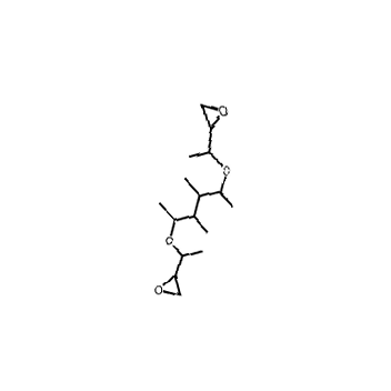 CC(OC(C)C(C)C(C)C(C)OC(C)C1CO1)C1CO1